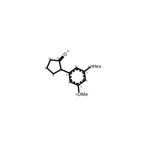 CCCCCCc1cc(OC)cc(C2CCCC2=O)c1